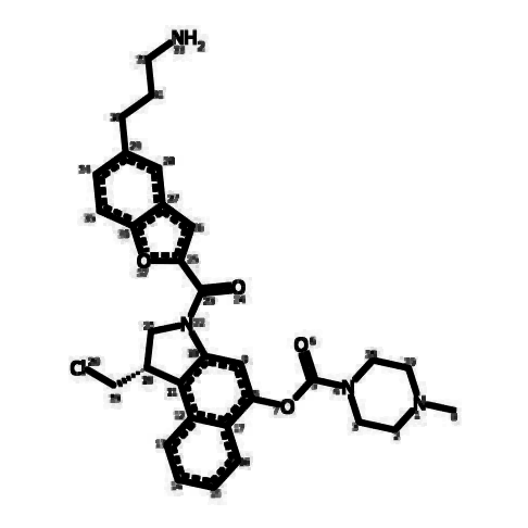 CN1CCN(C(=O)Oc2cc3c(c4ccccc24)[C@H](CCl)CN3C(=O)c2cc3cc(CCCN)ccc3o2)CC1